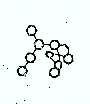 C1=Cc2ccc(-c3cc(-c4ccccc4)nc(-c4ccc(-c5cccnc5)cc4)n3)cc2C2(c3ccccc31)c1ccccc1-c1c2ccc2ccccc12